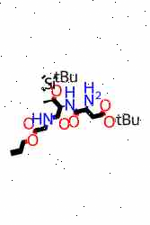 C=CCOC(=O)CNC(=O)[C@@H](NC(=O)[C@@H](N)CC(=O)OC(C)(C)C)[C@@H](C)O[Si](C)(C)C(C)(C)C